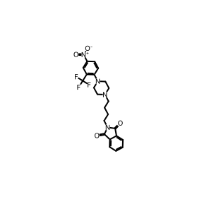 O=C1c2ccccc2C(=O)N1CCCCN1CCN(c2ccc([N+](=O)[O-])cc2C(F)(F)F)CC1